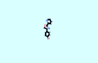 Brc1ccc(C2COC(c3ccccn3)=N2)cc1